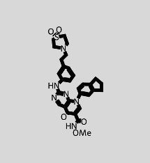 CONC(=O)c1cn(-c2ccc3c(c2)CCC3)c2nc(Nc3cccc(CCN4CCS(=O)(=O)CC4)c3)ncc2c1=O